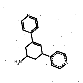 NC1CC(C2=C=C=NC=C2)=CC(c2ccncc2)C1